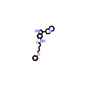 O=C(CCCCOc1ccccc1)Nc1ccc2[nH]cc(C3CCN4CCCCC4C3)c2c1